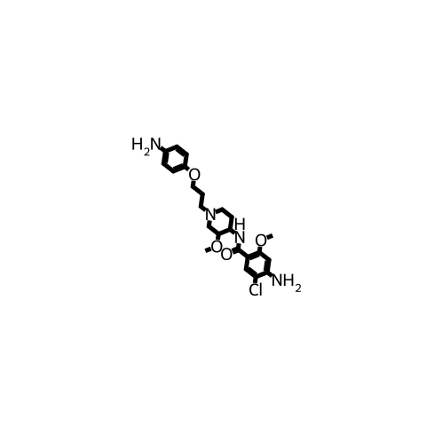 COc1cc(N)c(Cl)cc1C(=O)NC1CCN(CCCOc2ccc(N)cc2)CC1OC